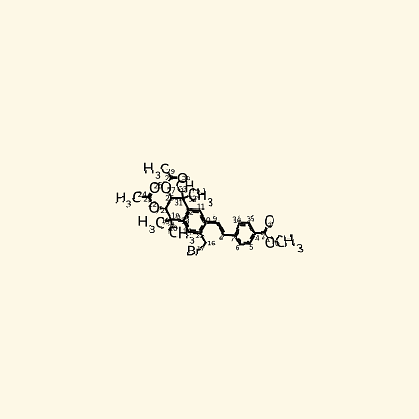 COC(=O)c1ccc(C=Cc2cc3c(cc2CBr)C(C)(C)[C@@H](OC(C)=O)[C@@H](OC(C)=O)C3(C)C)cc1